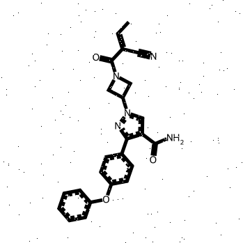 CC=C(C#N)C(=O)N1CC(n2cc(C(N)=O)c(-c3ccc(Oc4ccccc4)cc3)n2)C1